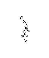 CC(C)(COc1ccccc1)Cn1cnc2ccc(C(=O)NO)cc2c1=O